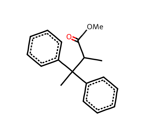 COC(=O)C(C)C(C)(c1ccccc1)c1ccccc1